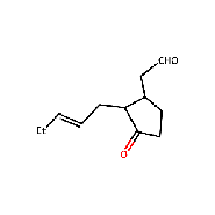 CC/C=C/CC1C(=O)CCC1CC=O